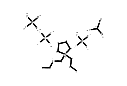 CCC[N+]1(COCC)CCCC1.FC(F)F.F[B-](F)(F)F.F[B-](F)(F)F.F[B-](F)(F)F